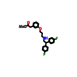 COC(=O)Cc1cccc(OCCCNCC(c2ccc(F)cc2)c2ccc(F)cc2)c1